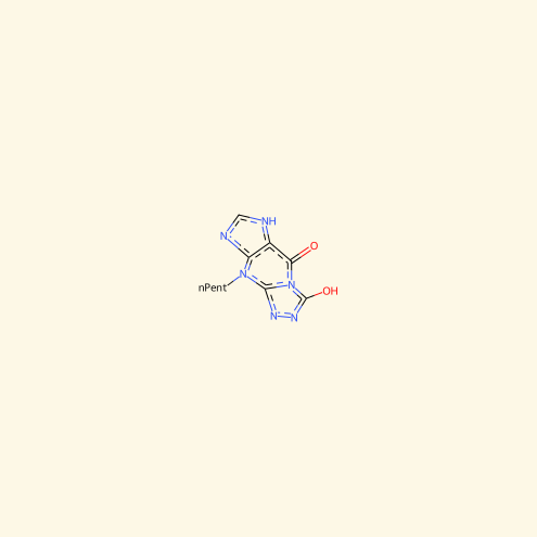 CCCCCn1c2nc[nH]c2c(=O)n2c(O)nnc12